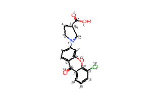 O=C(O)[C@@H]1CCN(c2ccc3c(=O)c4cccc(Cl)c4oc3c2)C1